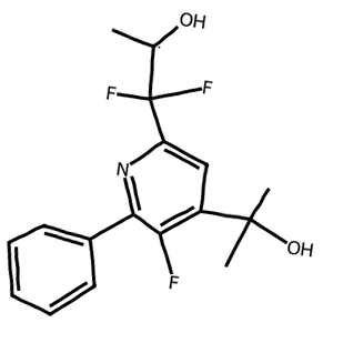 C[C](O)C(F)(F)c1cc(C(C)(C)O)c(F)c(-c2ccccc2)n1